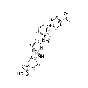 CC(=O)N1CCN(c2cccc3c2ccn3-c2ccnc(NC3CCC(C(C)(C)O)CC3)n2)CC1